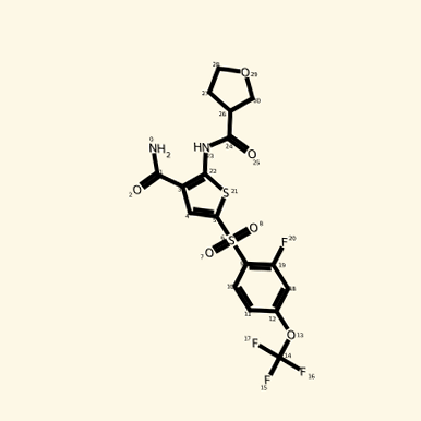 NC(=O)c1cc(S(=O)(=O)c2ccc(OC(F)(F)F)cc2F)sc1NC(=O)C1CCOC1